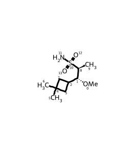 CO[C@H](C1CC(C)(C)C1)[C@H](C)S(N)(=O)=O